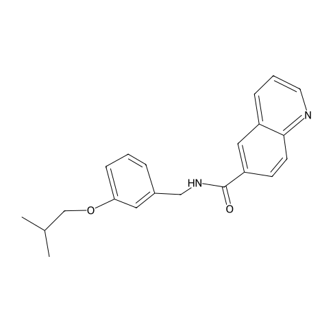 CC(C)COc1cccc(CNC(=O)c2ccc3ncccc3c2)c1